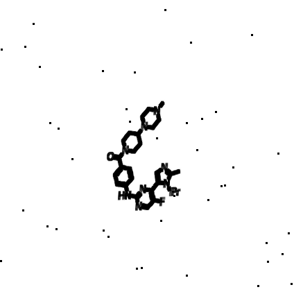 Cc1ncc(-c2nc(Nc3ccc(C(=O)N4CCC(N5CCN(C)CC5)CC4)cc3)ncc2F)n1C(C)C